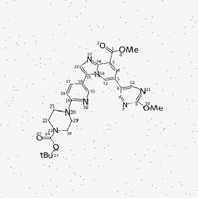 COC(=O)c1cc(-c2cnc(OC)nc2)cn2c(-c3ccc(N4CCN(C(=O)OC(C)(C)C)CC4)nc3)cnc12